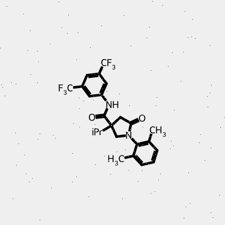 Cc1cccc(C)c1N1CC(C(=O)Nc2cc(C(F)(F)F)cc(C(F)(F)F)c2)(C(C)C)CC1=O